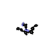 c1ccc(-c2ccc(-c3cccc(-c4cc(-c5cccc(-c6ccc(-c7ccccc7)cc6)c5)nc(-c5cccc(-c6cncnc6)c5)n4)c3)cc2)cc1